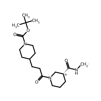 [CH2]NC(=O)[C@@H]1CCCN(C(=O)CCC2CCN(C(=O)OC(C)(C)C)CC2)C1